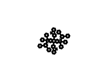 CC1(C)c2ccccc2-c2ccc(-c3c4cc5c(-c6ccccc6)c(-c6ccccc6)n(-c6cc(-c7ccccc7)cc(-c7ccccc7)c6)c5cc4c(-c4ccc5c(c4)C(C)(C)c4ccccc4-5)c4cc5c(-c6ccccc6)c(-c6ccccc6)n(-c6cc(-c7ccccc7)cc(-c7ccccc7)c6)c5cc34)cc21